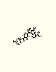 CC[C@@H](Oc1ccccc1C(=O)C(C)C)c1nc(-c2ccc(C(=O)NC(CO)CO)c(F)c2)no1